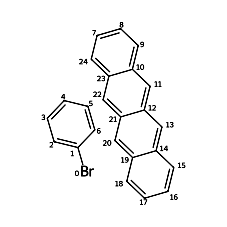 Brc1ccccc1.c1ccc2cc3cc4ccccc4cc3cc2c1